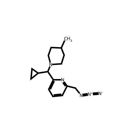 CC1CCN(C(c2cccc(CN=[N+]=[N-])n2)C2CC2)CC1